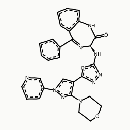 O=C1Nc2ccccc2C(c2ccccc2)=N[C@@H]1Nc1nnc(-c2cn(-c3cccnc3)nc2N2CCOCC2)o1